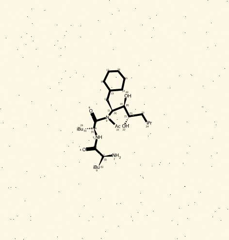 CC[C@H](C)[C@H](N)C(=O)N[C@H](C(=O)N(C(C)=O)[C@@H](CC1CCCCC1)[C@@H](O)[C@@H](O)CC(C)C)[C@@H](C)CC